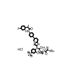 COc1cc(S(C)(=O)=O)ccc1N(C(=O)OC(C)OC(=O)[C@@H](N)C(C)(C)C)c1nc2ccc(-c3ccc(NC(=O)[C@H](C)c4ccc(F)cc4)cc3)cn2n1.Cl